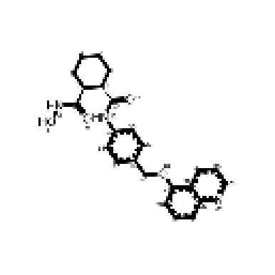 O=C(NO)[C@H]1CCCC[C@@H]1C(=O)Nc1ccc(COc2cccc3ncccc23)cc1